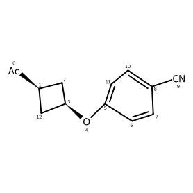 CC(=O)[C@H]1C[C@@H](Oc2ccc(C#N)cc2)C1